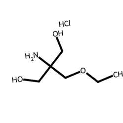 CCOCC(N)(CO)CO.Cl